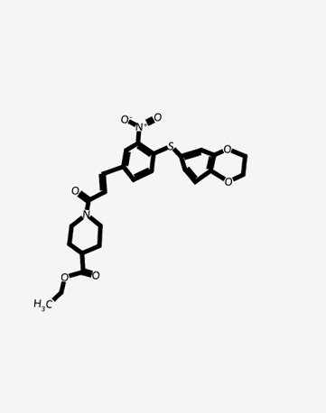 CCOC(=O)C1CCN(C(=O)/C=C/c2ccc(Sc3ccc4c(c3)OCCO4)c([N+](=O)[O-])c2)CC1